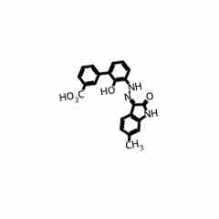 Cc1ccc2c(c1)NC(=O)C2=NNc1cccc(-c2cccc(C(=O)O)c2)c1O